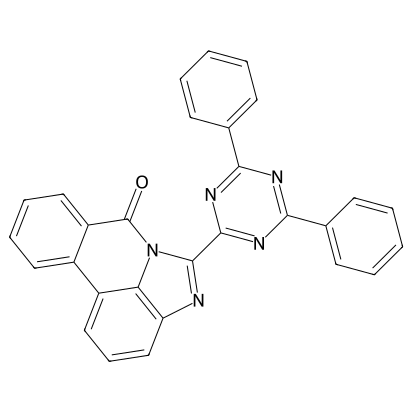 O=c1c2ccccc2c2cccc3nc(-c4nc(-c5ccccc5)nc(-c5ccccc5)n4)n1c32